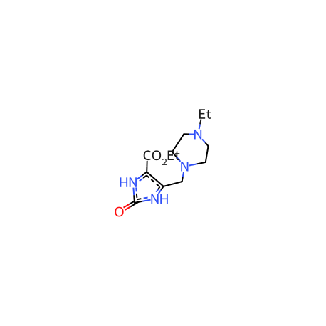 CCOC(=O)c1[nH]c(=O)[nH]c1CN1CCN(CC)CC1